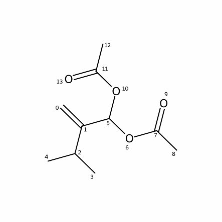 C=C(C(C)C)C(OC(C)=O)OC(C)=O